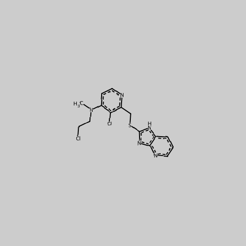 CN(CCCl)c1ccnc(CSc2nc3ncccc3[nH]2)c1Cl